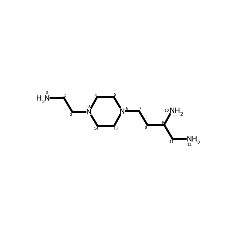 NCCN1CCN(CCC(N)CN)CC1